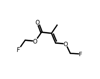 C/C(=C\OCF)C(=O)OCF